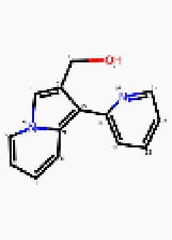 OCc1cn2ccccc2c1-c1ccccn1